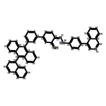 N=C1C=C(c2cccc(-c3c4ccccc4c(-c4cccc5ccccc45)c4ccccc34)c2)C=C/C1=N/Nc1ccc(-c2cncc3ccccc23)cc1